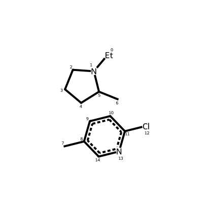 CCN1CCCC1C.Cc1ccc(Cl)nc1